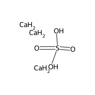 O=S(=O)(O)O.[CaH2].[CaH2].[CaH2]